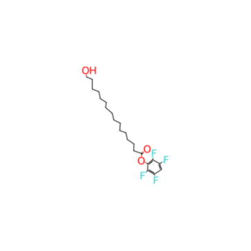 O=C(CCCCCCCCCCCCCCCO)Oc1c(F)c(F)cc(F)c1F